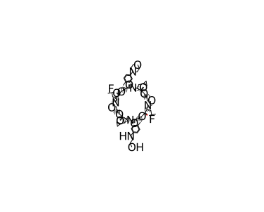 C=C1O[C@H](Cc2ccc(NCCO)cc2)C(=O)N(C)[C@@H](CC2CC2)C(=O)O[C@H](C)C(=O)N(C)[C@@H](CC(C)(C)F)C(=O)O[C@H](Cc2ccc(N3CCOCC3)cc2)C(=O)N(C)[C@@H](CC2CC2)C(=O)O[C@H](C)C(=O)N(C)[C@H]1CC(C)(C)F